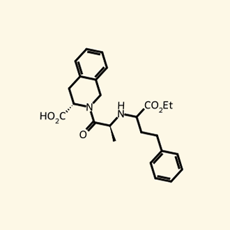 CCOC(=O)C(CCc1ccccc1)N[C@@H](C)C(=O)N1Cc2ccccc2C[C@H]1C(=O)O